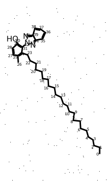 CCCCCCCCCCCCCCCCCCCCCCCCc1c(C)ccc(O)c1-n1nc2ccccc2n1